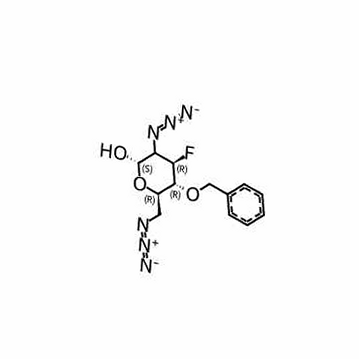 [N-]=[N+]=NC[C@H]1O[C@H](O)C(N=[N+]=[N-])[C@@H](F)[C@@H]1OCc1ccccc1